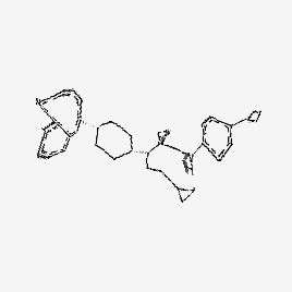 O=C(Nc1ccc(Cl)cc1)C(CC1CC1)[C@H]1CC[C@@H](c2ccnc3ccccc32)CC1